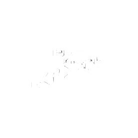 Cc1ccc(-c2ccc(C(CN3CCN(C)CC3)C3(O)CCCCC3)cc2)cc1.Cl.Cl